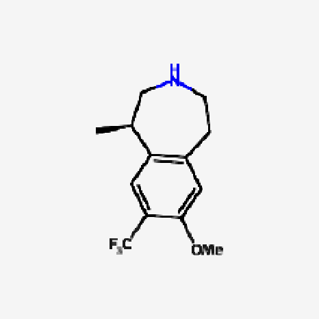 COc1cc2c(cc1C(F)(F)F)[C@@H](C)CNCC2